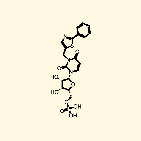 O=c1ccn([C@@H]2O[C@H](COP(=O)(O)O)[C@H](O)[C@@H]2O)c(=O)n1Cc1cnc(-c2ccccc2)s1